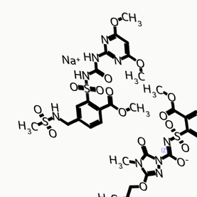 CCCOc1nn(/C([O-])=N/S(=O)(=O)c2ccccc2C(=O)OC)c(=O)n1C.COC(=O)c1ccc(CNS(C)(=O)=O)cc1S(=O)(=O)NC(=O)Nc1nc(OC)cc(OC)n1.[Na+]